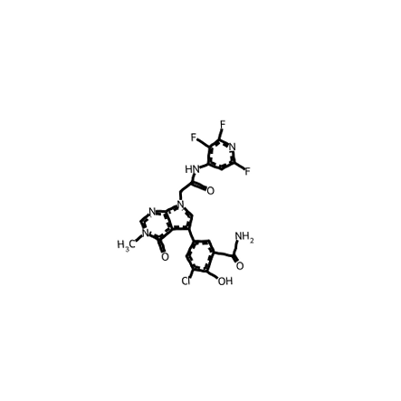 Cn1cnc2c(c(-c3cc(Cl)c(O)c(C(N)=O)c3)cn2CC(=O)Nc2cc(F)nc(F)c2F)c1=O